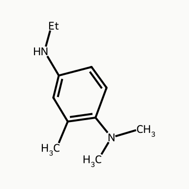 CCNc1ccc(N(C)C)c(C)c1